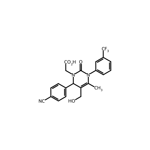 CC1=C(CO)C(c2ccc(C#N)cc2)N(CC(=O)O)C(=O)N1c1cccc(C(F)(F)F)c1